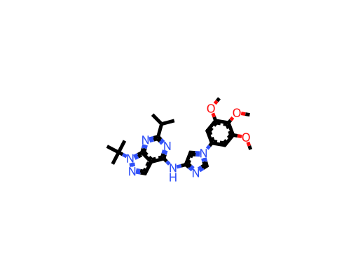 COc1cc(-n2cnc(Nc3nc(C(C)C)nc4c3cnn4C(C)(C)C)c2)cc(OC)c1OC